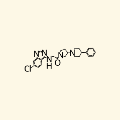 O=C(CNc1ncnc2cc(Cl)ccc12)N1CCC(N2CCC(c3ccccc3)CC2)C1